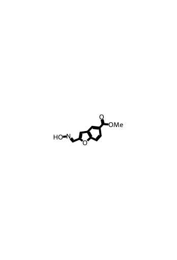 COC(=O)c1ccc2oc(C=NO)cc2c1